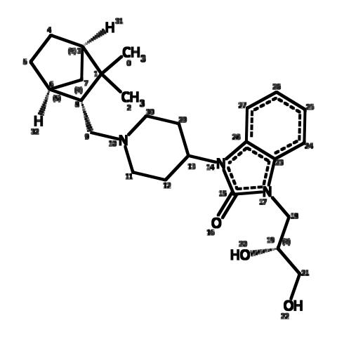 CC1(C)[C@@H]2CC[C@@H](C2)[C@H]1CN1CCC(n2c(=O)n(C[C@@H](O)CO)c3ccccc32)CC1